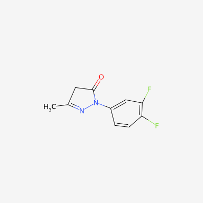 CC1=NN(c2ccc(F)c(F)c2)C(=O)C1